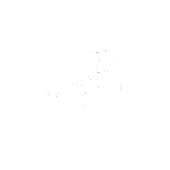 CC1CN(C(=O)[C@@H](NC(=O)NC2(CS(=O)(=O)Cc3ccccc3)CCCCC2)C(C)(C)C)[C@H](C(=O)NC(CC2CC2)C(=O)C(N)=O)CC1(C)C